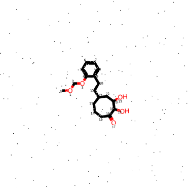 COCOc1ccccc1CCC1CCCC(=O)C(O)C(O)C1